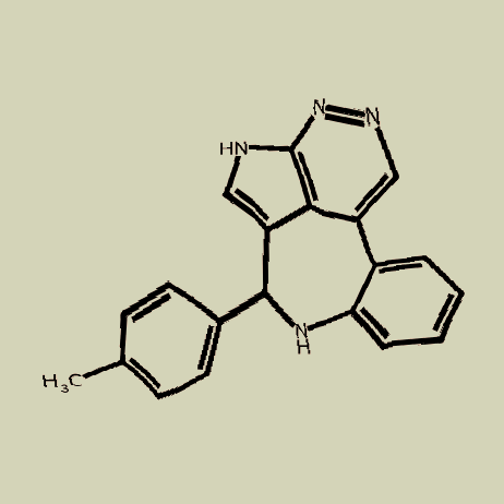 Cc1ccc(C2Nc3ccccc3-c3cnnc4[nH]cc2c34)cc1